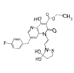 CCOC(=O)c1c(O)c2ncc(Cc3ccc(F)cc3)cc2n(CCN2SCCC2(O)O)c1=O